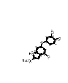 CCOC(=O)c1cc2c(Cl)cc(Sc3ccc(Cl)c(Cl)c3)cc2[nH]1